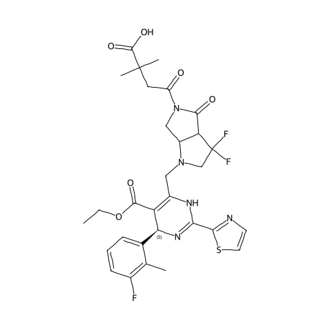 CCOC(=O)C1=C(CN2CC(F)(F)C3C(=O)N(C(=O)CC(C)(C)C(=O)O)CC32)NC(c2nccs2)=N[C@H]1c1cccc(F)c1C